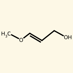 CO/C=C/CO